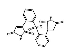 O=C1C=C(c2ccccc2S(=O)(=O)c2ccccc2C2=CC(=O)NC2=O)C(=O)N1